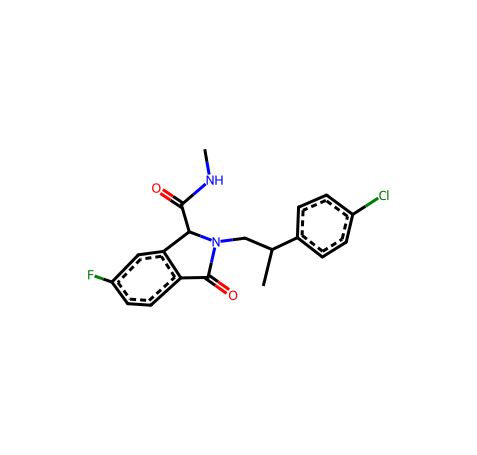 CNC(=O)C1c2cc(F)ccc2C(=O)N1CC(C)c1ccc(Cl)cc1